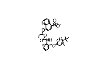 CCC(OC(=O)Nc1ncccc1COC(=O)CN(C)C(=O)C(C)(C)C)Oc1ccc([N+](=O)[O-])c2cccnc12